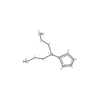 OCCN(CCO)c1nccs1